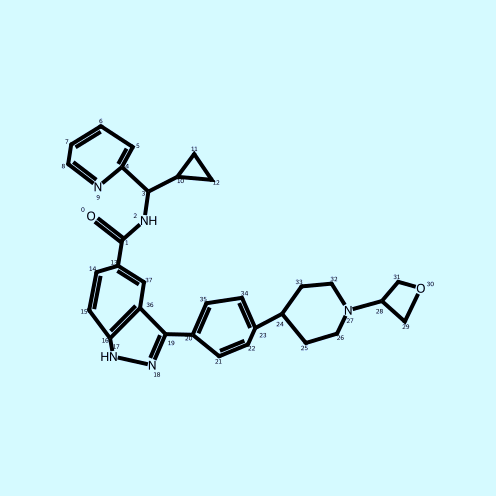 O=C(NC(c1ccccn1)C1CC1)c1ccc2[nH]nc(-c3ccc(C4CCN(C5COC5)CC4)cc3)c2c1